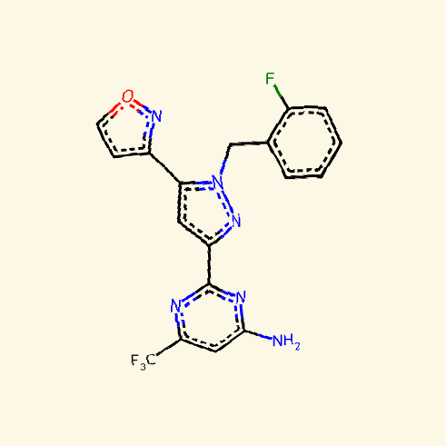 Nc1cc(C(F)(F)F)nc(-c2cc(-c3ccon3)n(Cc3ccccc3F)n2)n1